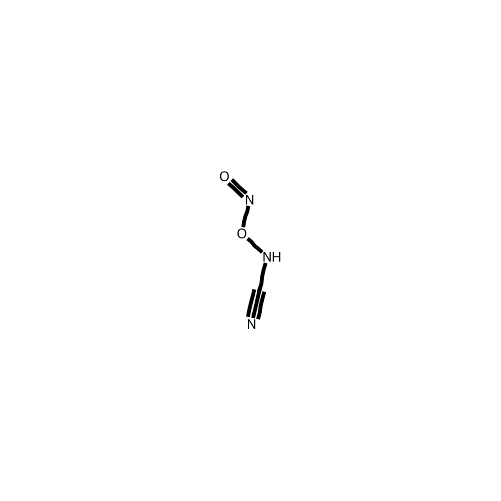 N#CNON=O